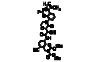 CN(C)C(=O)c1cccc(N2CCO[C@H]([C@@H](O)C(=O)Nc3ccc(C#N)c(CN(C(=O)OC(C)(C)C)C(=O)OC(C)(C)C)c3)C2=O)c1OC(F)F